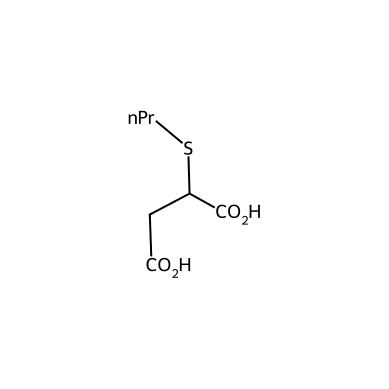 CCCSC(CC(=O)O)C(=O)O